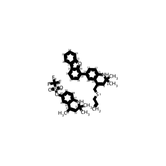 C=CCSCC1=CC(C)(C)Nc2ccc(-c3cccc4c3oc3ccccc34)cc21.CC1=CC(C)(C)Nc2ccc(OS(=O)(=O)C(F)(F)F)cc21